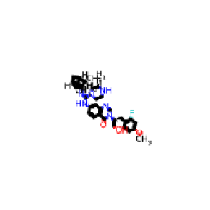 COc1ccc(C[C@@H](CO)n2cnc3cc(N/C(=N/[C@H]4C[C@H]5C[C@@H]([C@@H]4C)C5(C)C)N4CCN[C@@H](C)C4)ccc3c2=O)c(F)c1